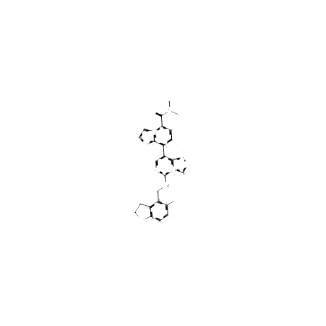 CN(C)C(=O)c1ccc(-c2cnc(NCc3c(F)ccc4c3CCO4)n3cnnc23)c2nccn12